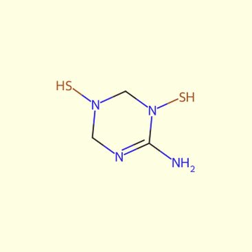 NC1=NCN(S)CN1S